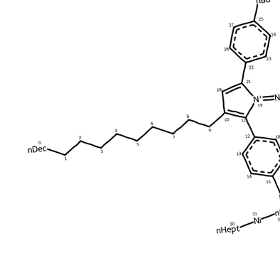 CCCCCCCCCCCCCCCCCCCC1=C(c2ccc(CCCC)cc2)[N+](=[N-])C(c2ccc(CCCC)cc2)=C1.CCCCCC[CH2][Ni][CH2]CCCCCC